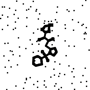 O=C(Cc1cccn1S(=O)(=O)c1ccccc1)C(=O)c1nc[nH]n1